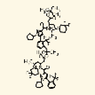 CC(CC(CC(=O)OC(C)(C)C)NC(=O)c1cc(-c2cccc(CC(C)(C)OC(=O)C[C@H](C[C@H](C)N3CCCC(F)(F)C3)NC(=O)c3cc(-c4ccccc4C(F)(F)F)n(C4CCCC4)n3)c2C(F)(F)F)n(C2CCCC2)n1)N1CCCC(F)(F)C1